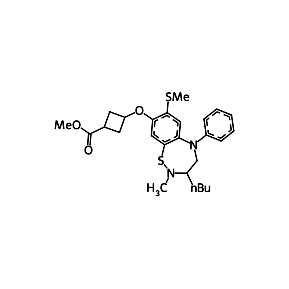 CCCCC1CN(c2ccccc2)c2cc(SC)c(OC3CC(C(=O)OC)C3)cc2SN1C